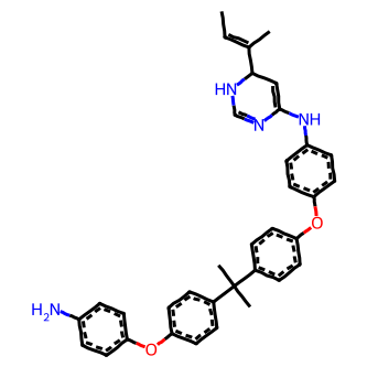 CC=C(C)C1C=C(Nc2ccc(Oc3ccc(C(C)(C)c4ccc(Oc5ccc(N)cc5)cc4)cc3)cc2)N=CN1